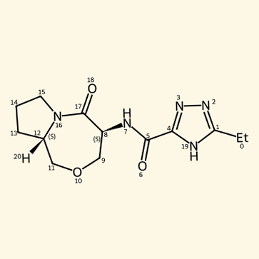 CCc1nnc(C(=O)N[C@H]2COC[C@@H]3CCCN3C2=O)[nH]1